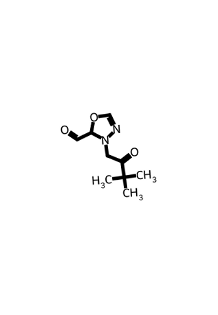 CC(C)(C)C(=O)CN1N=COC1C=O